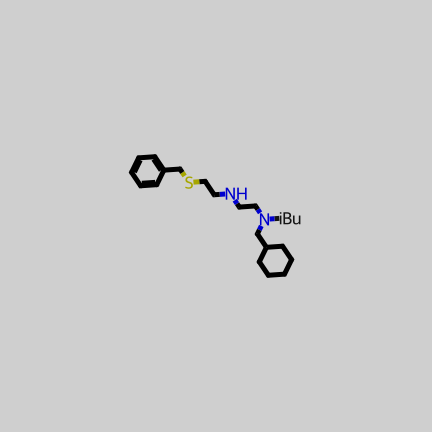 CCC(C)N(CCNCCSCc1ccccc1)CC1CCCCC1